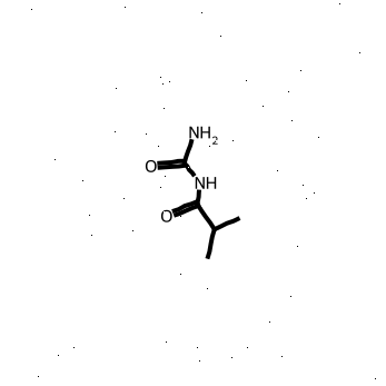 CC(C)C(=O)NC(N)=O